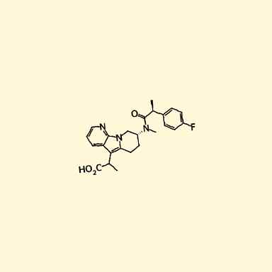 CC(C(=O)O)c1c2n(c3ncccc13)C[C@H](N(C)C(=O)[C@@H](C)c1ccc(F)cc1)CC2